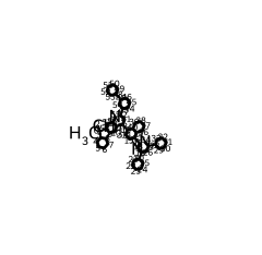 CC1(C)c2ccccc2-c2cc3c(-c4ccc(-c5nc(-c6ccccc6)cc(-c6ccccc6)n5)c5ccccc45)cc(-c4cccc(-c5ccccc5)c4)nc3cc21